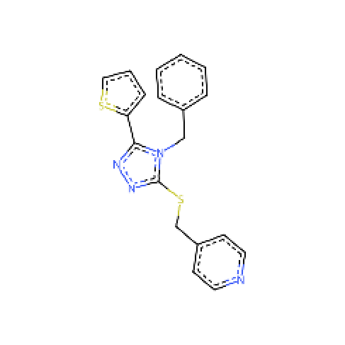 c1ccc(Cn2c(SCc3ccncc3)nnc2-c2cccs2)cc1